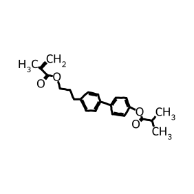 C=C(C)C(=O)OCCCc1ccc(-c2ccc(OC(=O)C(C)C)cc2)cc1